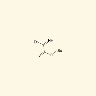 C=C(OC(C)(C)C)C(=N)CC